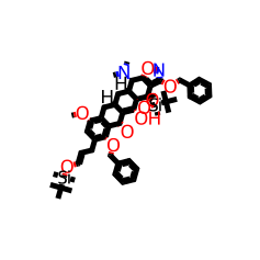 COc1cc(CC=CO[Si](C)(C)C(C)(C)C)c(OCc2ccccc2)c2c1C[C@H]1C[C@H]3[C@H](N(C)C)c4onc(OCc5ccccc5)c4C(=O)[C@@]3(O[Si](C)(C)C(C)(C)C)C(O)=C1C2=O